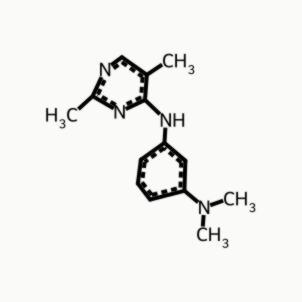 Cc1ncc(C)c(Nc2cccc(N(C)C)c2)n1